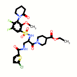 CCOC(=O)C1CCN(C(=O)C(CNC(=O)c2ccc(Cl)s2)NS(=O)(=O)c2cc(F)c(F)c(N3CCCCC3=O)c2OC)CC1